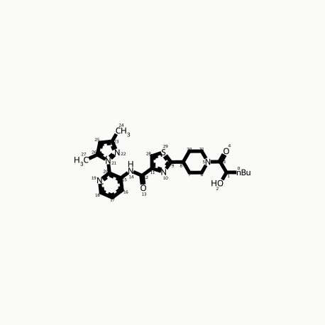 CCCCC(O)C(=O)N1CCC(c2nc(C(=O)Nc3cccnc3-n3nc(C)cc3C)cs2)CC1